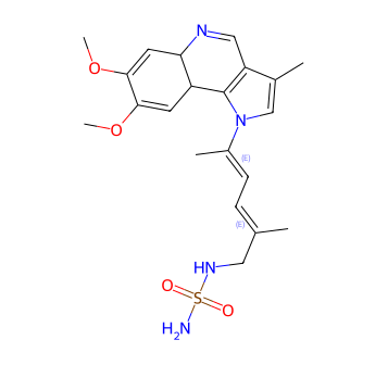 COC1=CC2N=Cc3c(C)cn(/C(C)=C/C=C(\C)CNS(N)(=O)=O)c3C2C=C1OC